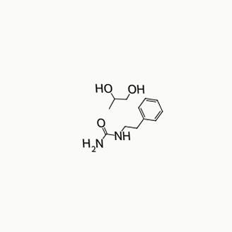 CC(O)CO.NC(=O)NCCc1ccccc1